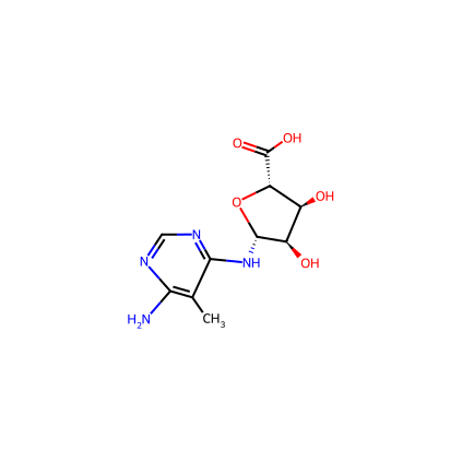 Cc1c(N)ncnc1N[C@@H]1O[C@H](C(=O)O)[C@@H](O)[C@H]1O